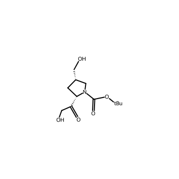 CC(C)(C)OC(=O)N1C[C@@H](CO)C[C@H]1C(=O)CO